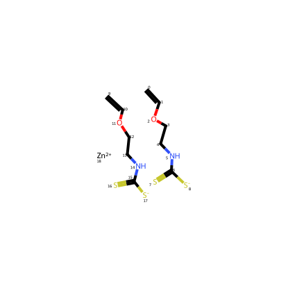 C=COCCNC(=S)[S-].C=COCCNC(=S)[S-].[Zn+2]